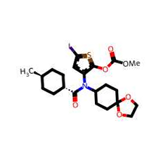 COC(=O)Oc1sc(I)cc1N(C(=O)[C@H]1CC[C@H](C)CC1)C1CCC2(CC1)OCCO2